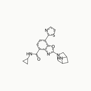 O=C(NC1CC1)c1ccc(-c2nccs2)c2oc(N3CC4CC(C3)N4)nc12